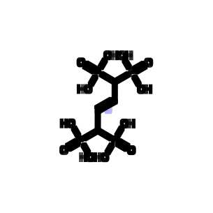 O=P(O)(O)C(/C=C/C(P(=O)(O)O)P(=O)(O)O)P(=O)(O)O